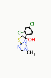 CN1CN=C2SCC(O)(c3ccc(Cl)cc3Cl)N2C1